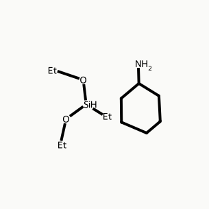 CCO[SiH](CC)OCC.NC1CCCCC1